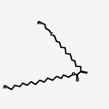 C=C(CCCCCCCCCCCCCCCC(C)C)C(=O)OCCCCCCCCCCCCCCCC(C)C